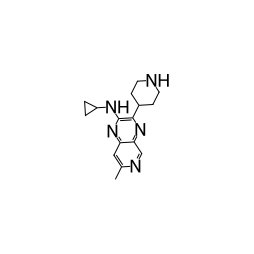 Cc1cc2nc(NC3CC3)c(C3CCNCC3)nc2cn1